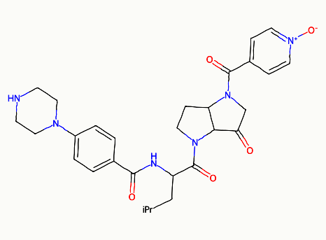 CC(C)CC(NC(=O)c1ccc(N2CCNCC2)cc1)C(=O)N1CCC2C1C(=O)CN2C(=O)c1cc[n+]([O-])cc1